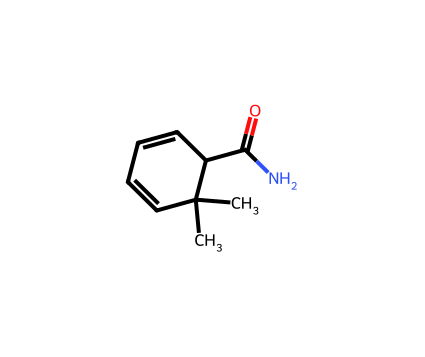 CC1(C)C=CC=CC1C(N)=O